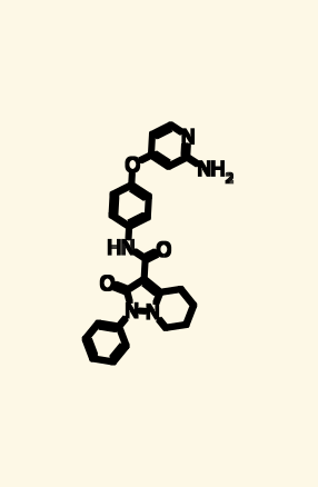 Nc1cc(Oc2ccc(NC(=O)c3c4n(n(-c5ccccc5)c3=O)CCCC4)cc2)ccn1